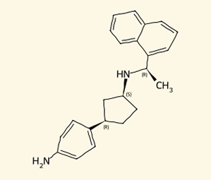 C[C@@H](N[C@H]1CC[C@@H](c2ccc(N)cc2)C1)c1cccc2ccccc12